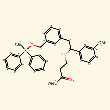 COC(=O)CCSC(Cc1cccc(CO[Si](c2ccccc2)(c2ccccc2)C(C)(C)C)c1)c1cccc(OC)c1